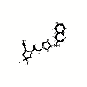 N#CC1CC(F)(F)CN1C(=O)CN1CC[C@H](Nc2cnc3ccccc3c2)C1